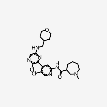 CN1CCCCC(C(=O)Nc2cc(-c3nc(NCC4CCOCC4)cnc3Cl)c(Cl)cn2)C1